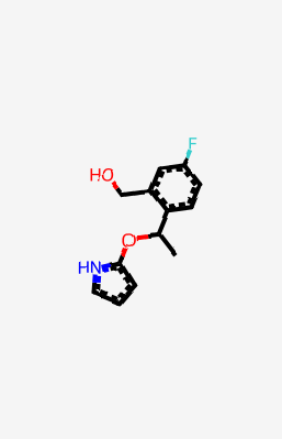 CC(Oc1ccc[nH]1)c1ccc(F)cc1CO